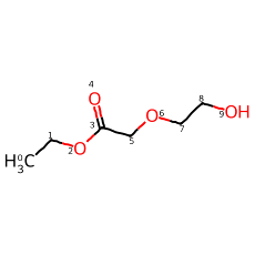 CCOC(=O)COCCO